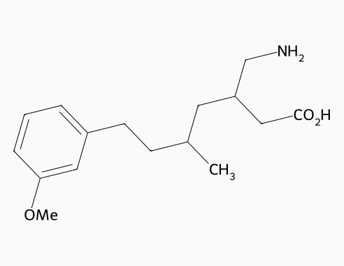 COc1cccc(CCC(C)CC(CN)CC(=O)O)c1